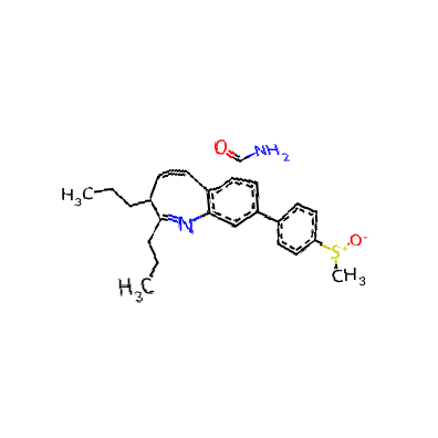 CCCC1=Nc2cc(-c3ccc([S+](C)[O-])cc3)ccc2C=CC1CCC.NC=O